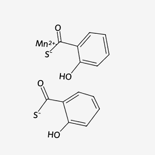 O=C([S-])c1ccccc1O.O=C([S-])c1ccccc1O.[Mn+2]